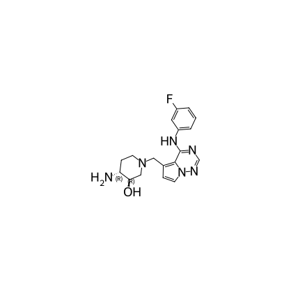 N[C@@H]1CCN(Cc2ccn3ncnc(Nc4cccc(F)c4)c23)C[C@H]1O